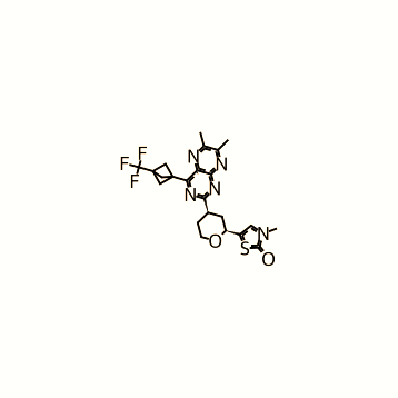 Cc1nc2nc([C@@H]3CCO[C@H](c4cn(C)c(=O)s4)C3)nc(C34CC(C(F)(F)F)(C3)C4)c2nc1C